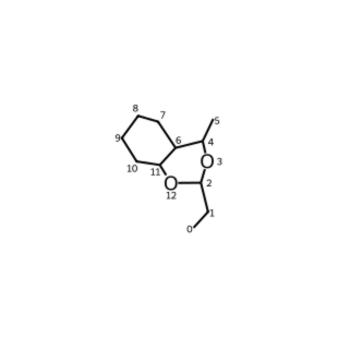 CCC1OC(C)C2CCCCC2O1